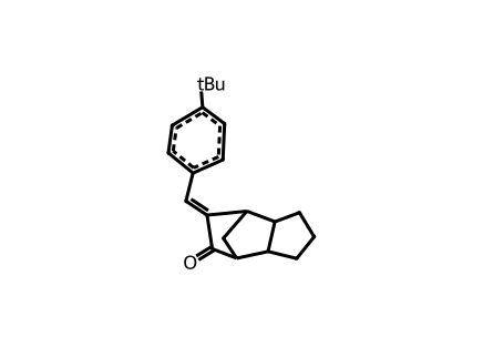 CC(C)(C)c1ccc(C=C2C(=O)C3CC2C2CCCC32)cc1